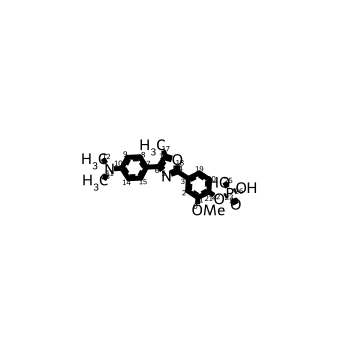 COc1cc(-c2nc(-c3ccc(N(C)C)cc3)c(C)o2)ccc1OP(=O)(O)O